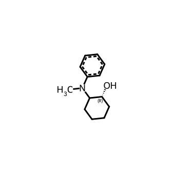 CN(c1ccccc1)C1CCCC[C@H]1O